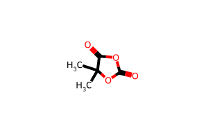 CC1(C)OC(=O)OC1=O